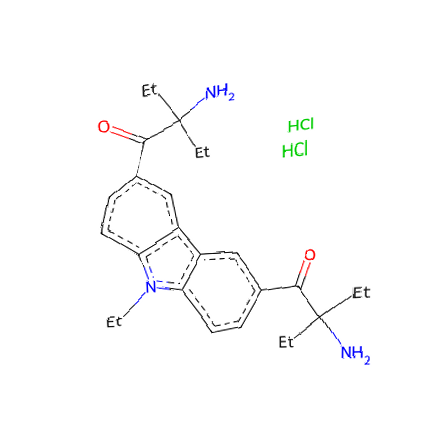 CCn1c2ccc(C(=O)C(N)(CC)CC)cc2c2cc(C(=O)C(N)(CC)CC)ccc21.Cl.Cl